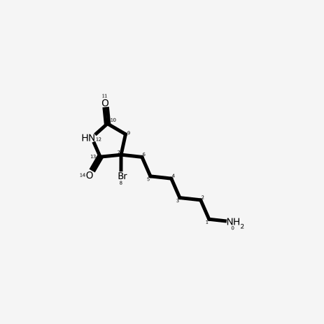 NCCCCCCC1(Br)CC(=O)NC1=O